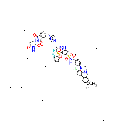 CC1(C)CCC(c2ccc(Cl)cc2)=C(CN2CCN(c3ccc(C(=O)NS(=O)(=O)c4ccc(N[C@H](CCN5CC6CCC5CN6Cc5ccc6c(c5)C(=O)N(C5CCC(=O)NC5=O)C6=O)CSc5ccccc5)c(S(=O)(=O)C(F)(F)F)c4)cc3)CC2)C1